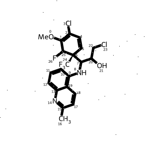 COC1=C(Cl)C=C[C@@](C(Nc2cccc3nc(C)ccc23)C(O)CCl)(C(F)(F)F)C1F